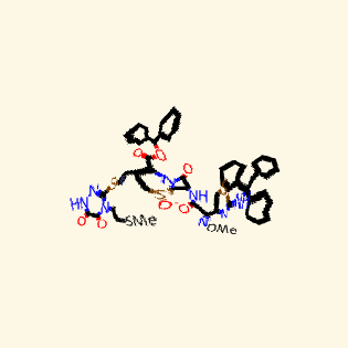 CO/N=C(/C(=O)NC1C(=O)N2C(C(=O)OC(c3ccccc3)c3ccccc3)=C(/C=C/Sc3n[nH]c(=O)c(=O)n3CCSC)C[S+]([O-])C12)c1csc(NC(c2ccccc2)(c2ccccc2)c2ccccc2)n1